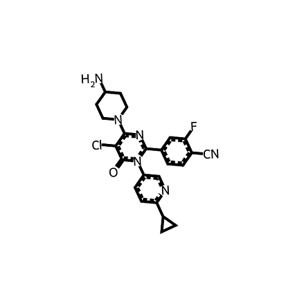 N#Cc1ccc(-c2nc(N3CCC(N)CC3)c(Cl)c(=O)n2-c2ccc(C3CC3)nc2)cc1F